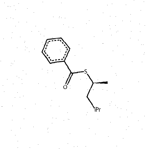 CC(C)C[C@H](C)SC(=O)c1ccccc1